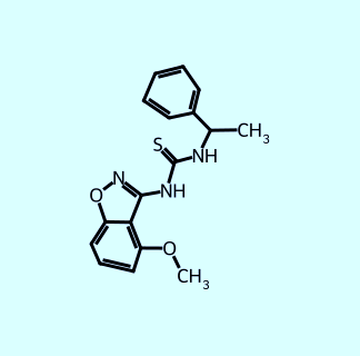 COc1cccc2onc(NC(=S)NC(C)c3ccccc3)c12